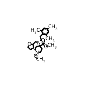 COC(=O)C1(N(CC2CCCO2)C(=O)Cc2c(C)cc(C)cc2C)CCN(OC)CC1